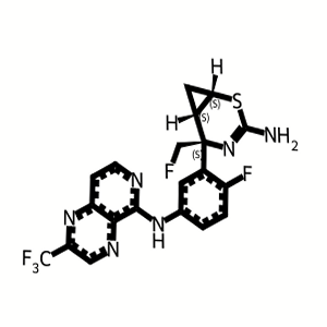 NC1=N[C@](CF)(c2cc(Nc3nccc4nc(C(F)(F)F)cnc34)ccc2F)[C@@H]2C[C@@H]2S1